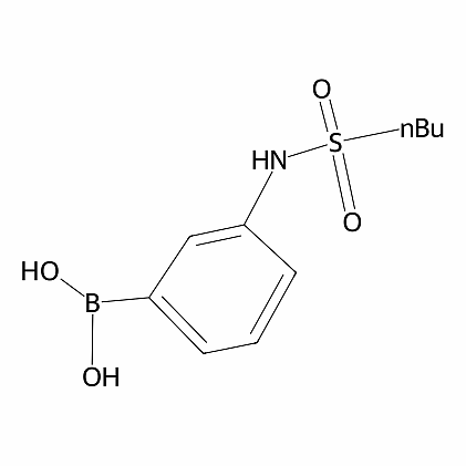 CCCCS(=O)(=O)Nc1cccc(B(O)O)c1